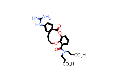 N=C(N)Nc1ccc2c(c1)CCCOc1c(cccc1C(=O)N(CCC(=O)O)CCC(=O)O)OC2=O